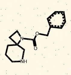 O=C(OCc1ccccc1)N1CCC12CCCNC2